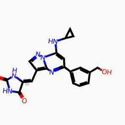 O=C1NC(=O)/C(=C/c2cnn3c(NC4CC4)cc(-c4cccc(CO)c4)nc23)N1